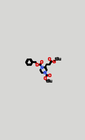 CC(C)(C)OC(=O)CC[C@H]1CN(C(=O)OC(C)(C)C)CCN1C(=O)OCc1ccccc1